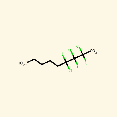 O=C(O)CCCCC(Cl)(Cl)C(Cl)(Cl)C(Cl)(Cl)C(=O)O